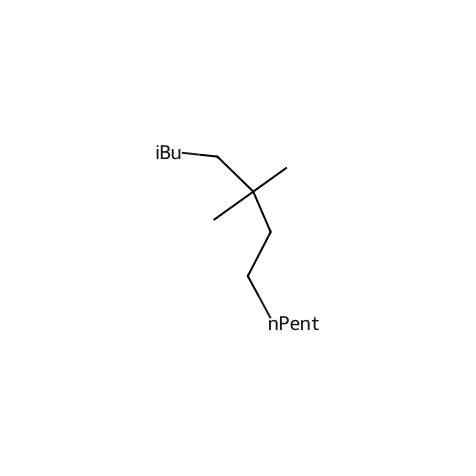 [CH2]CC(C)CC(C)(C)CCCCCCC